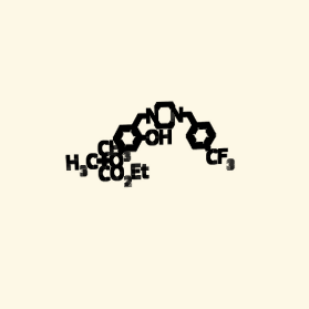 CCOC(=O)C(C)(C)Oc1ccc(CN2CCN(Cc3ccc(C(F)(F)F)cc3)CC2)c(O)c1